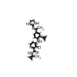 C=C(N=C1NCCN1)c1ccc(Nc2ccnc(C(=O)NC3(C)CC3)c2Cl)c(C2CC2)c1